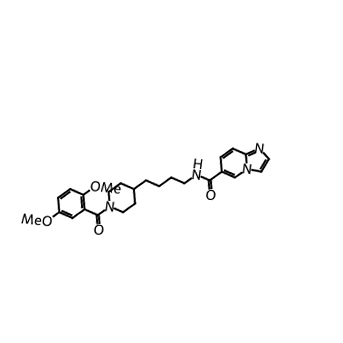 COc1ccc(OC)c(C(=O)N2CCC(CCCCNC(=O)c3ccc4nccn4c3)CC2)c1